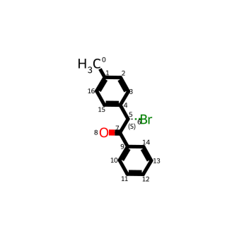 Cc1ccc([C@H](Br)C(=O)c2ccccc2)cc1